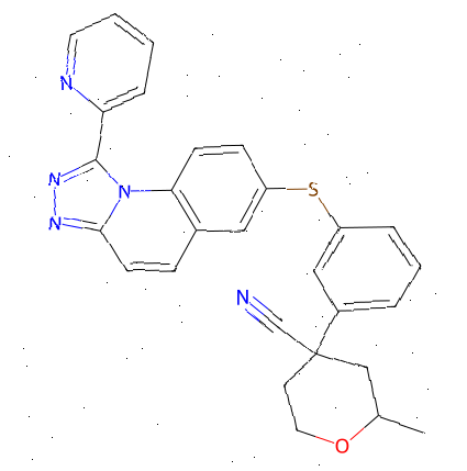 CC1CC(C#N)(c2cccc(Sc3ccc4c(ccc5nnc(-c6ccccn6)n54)c3)c2)CCO1